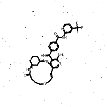 N=C(c1ccc(C(=O)Nc2cc(C(F)(F)F)ccn2)cc1)c1c(N)ncc2c1N[C@@H]1CCC[C@H](C1)NC(=O)CCCOC/C=C/2